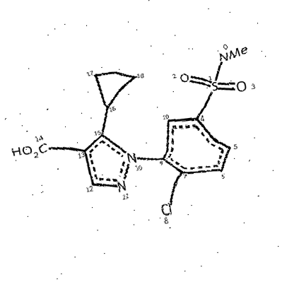 CNS(=O)(=O)c1ccc(Cl)c(-n2ncc(C(=O)O)c2C2CC2)c1